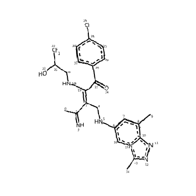 CC(=N)/C(CNc1cc(C)c2nnc(C)n2c1)=C(\NCC(O)C(F)(F)F)C(=O)c1ccc(Cl)cc1